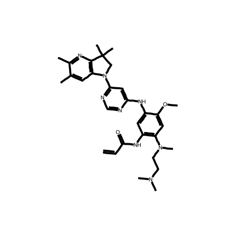 C=CC(=O)Nc1cc(Nc2cc(N3CC(C)(C)c4nc(C)c(C)cc43)ncn2)c(OC)cc1N(C)CCN(C)C